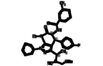 CCN1C(=O)[C@@H](NC(=O)c2cccc(C(F)(F)F)c2)[C@@H](c2ccc(F)cc2)c2c([C@@H](C)N(C#N)CSC)nn(-c3ccccc3)c21